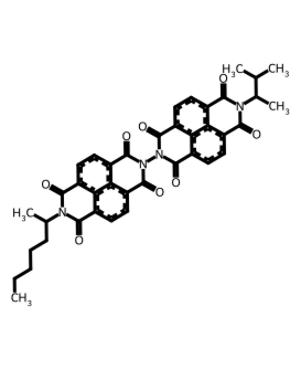 CCCCCC(C)N1C(=O)c2ccc3c4c(ccc(c24)C1=O)C(=O)N(N1C(=O)c2ccc4c5c(ccc(c25)C1=O)C(=O)N(C(C)C(C)C)C4=O)C3=O